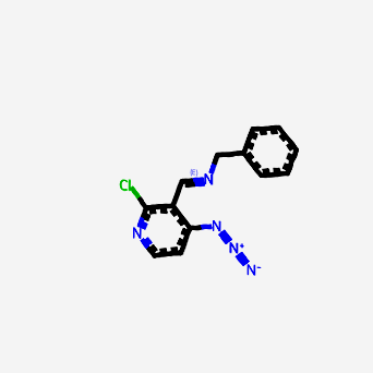 [N-]=[N+]=Nc1ccnc(Cl)c1/C=N/Cc1ccccc1